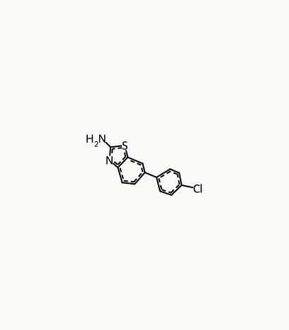 Nc1nc2ccc(-c3ccc(Cl)cc3)cc2s1